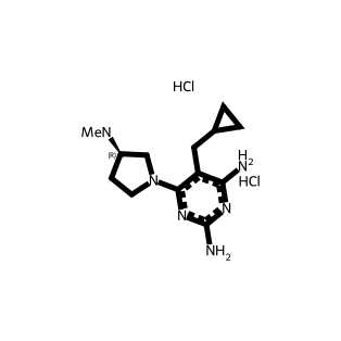 CN[C@@H]1CCN(c2nc(N)nc(N)c2CC2CC2)C1.Cl.Cl